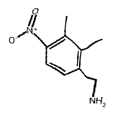 Cc1c(CN)ccc([N+](=O)[O-])c1C